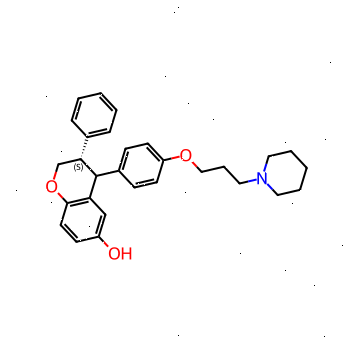 Oc1ccc2c(c1)C(c1ccc(OCCCN3CCCCC3)cc1)[C@@H](c1ccccc1)CO2